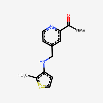 CNC(=O)c1cc(CNc2ccsc2C(=O)O)ccn1